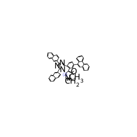 C=N/C=C\c1c(C)oc2c(-c3cc4ccccc4c4ccccc34)ccc(-c3nc(-c4ccc5ccccc5c4)nc(-c4ccc5ccccc5c4)n3)c12